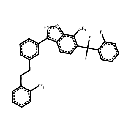 Fc1ccccc1C(F)(F)c1ccc2c(-c3cccc(CCc4ccccc4C(F)(F)F)c3)[nH]nc2c1C(F)(F)F